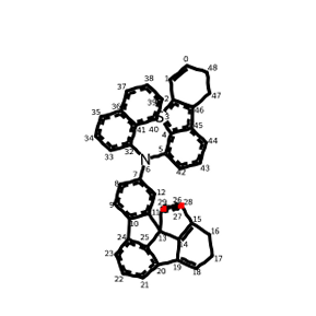 C1=Cc2sc3c(N(c4ccc5c(c4)C46C7=C(CCC=C7c7cccc-5c74)c4ccccc46)c4cccc5ccccc45)cccc3c2CC1